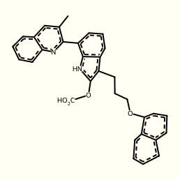 Cc1cc2ccccc2nc1-c1cccc2c(CCCOc3cccc4ccccc34)c(OC(=O)O)[nH]c12